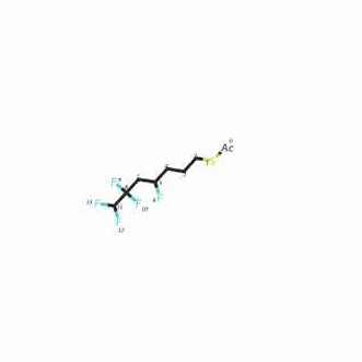 CC(=O)SCCCC(F)CC(F)(F)C(F)F